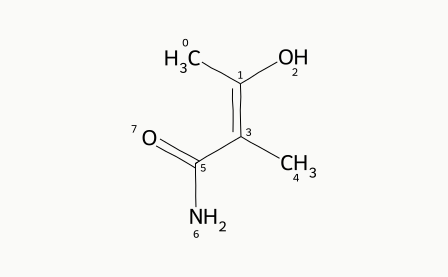 CC(O)=C(C)C(N)=O